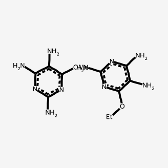 CCOc1nc(N)nc(N)c1N.COc1nc(N)nc(N)c1N